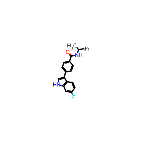 CC(C)C(C)NC(=O)c1ccc(-c2c[nH]c3cc(F)ccc23)cc1